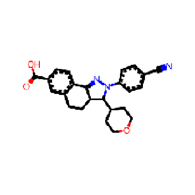 N#Cc1ccc(N2N=C3c4ccc(C(=O)O)cc4CCC3C2C2CCOCC2)cc1